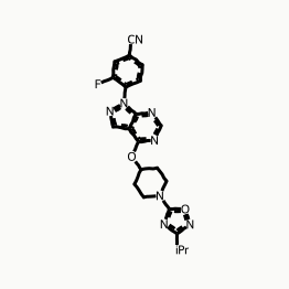 CC(C)c1noc(N2CCC(Oc3ncnc4c3cnn4-c3ccc(C#N)cc3F)CC2)n1